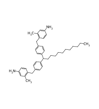 CCCCCCCCCCCC(c1ccc(Cc2ccc(N)cc2C)cc1)c1ccc(Cc2ccc(N)cc2C)cc1